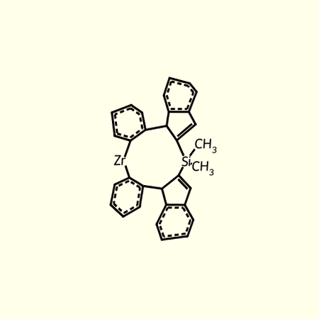 C[Si]1(C)C2=Cc3ccccc3C2c2cccc[c]2[Zr][c]2ccccc2C2C1=Cc1ccccc12